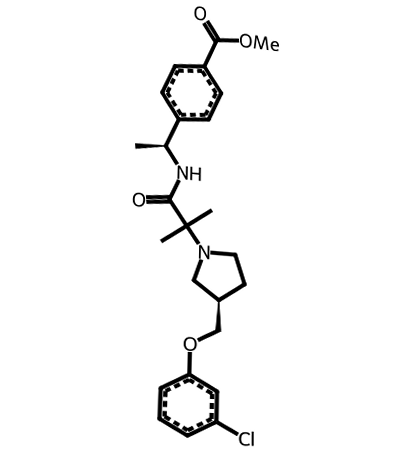 COC(=O)c1ccc([C@H](C)NC(=O)C(C)(C)N2CC[C@@H](COc3cccc(Cl)c3)C2)cc1